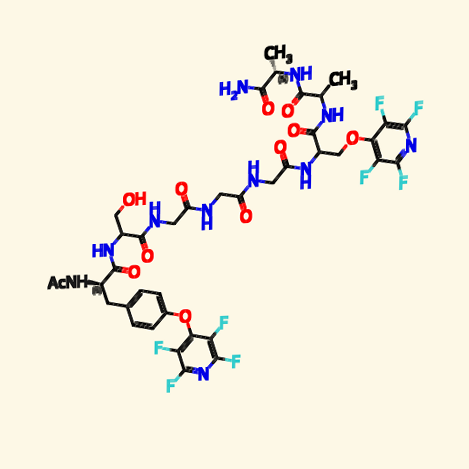 CC(=O)N[C@H](Cc1ccc(Oc2c(F)c(F)nc(F)c2F)cc1)C(=O)NC(CO)C(=O)NCC(=O)NCC(=O)NCC(=O)NC(COc1c(F)c(F)nc(F)c1F)C(=O)NC(C)C(=O)N[C@@H](C)C(N)=O